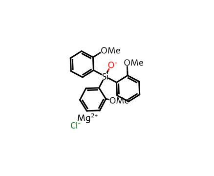 COc1ccccc1[Si]([O-])(c1ccccc1OC)c1ccccc1OC.[Cl-].[Mg+2]